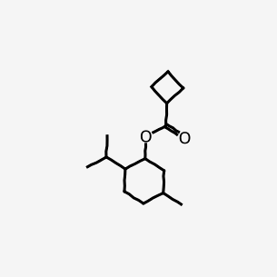 CC1CCC(C(C)C)C(OC(=O)C2CCC2)C1